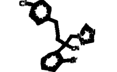 N#CC(CCc1ccc(Cl)cc1)(Cn1cncn1)c1ccccc1Br